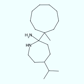 CC(C)C1CCNC(N)(C2(C)CCCCCCCC2)CC1